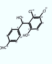 O=Cc1ccc(C(O)c2c(O)ccc(Cl)c2Cl)cc1